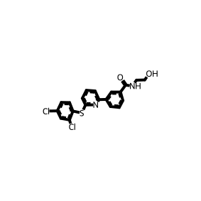 O=C(NCCO)c1cccc(-c2cccc(Sc3ccc(Cl)cc3Cl)n2)c1